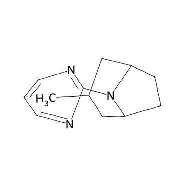 CC1CC2CCC(C1)N2c1ncccn1